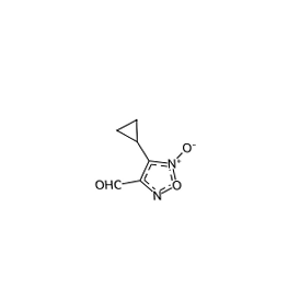 O=Cc1no[n+]([O-])c1C1CC1